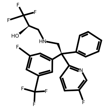 O[C@H](CNC[C@](c1ccccc1)(c1cc(F)cc(C(F)(F)F)c1)c1ccc(F)cn1)C(F)(F)F